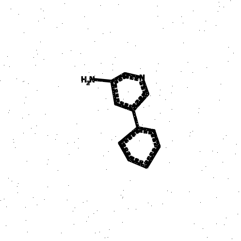 Nc1cncc(-c2ccccc2)c1